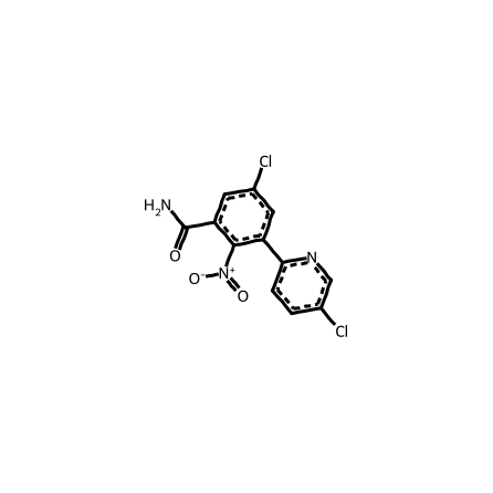 NC(=O)c1cc(Cl)cc(-c2ccc(Cl)cn2)c1[N+](=O)[O-]